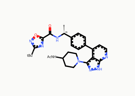 CC(=O)NC1CCN(c2n[nH]c3nccc(-c4ccc([C@@H](C)NC(=O)c5nc(C(C)(C)C)no5)cc4)c23)CC1